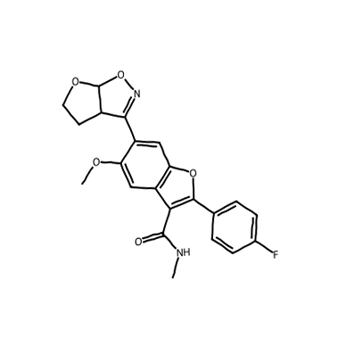 CNC(=O)c1c(-c2ccc(F)cc2)oc2cc(C3=NOC4OCCC34)c(OC)cc12